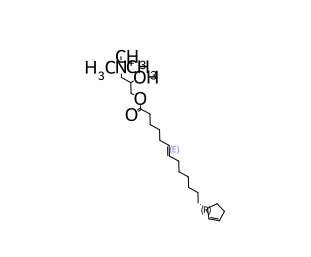 C[N+](C)(C)CC(O)COC(=O)CCCC/C=C/CCCCCC[C@H]1C=CCC1